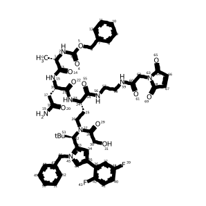 C[C@H](NC(=O)OCc1ccccc1)C(=O)N[C@@H](CC(N)=O)C(=O)N[C@@H](CCN(C(=O)CO)[C@@H](c1cc(-c2cc(F)ccc2F)cn1Cc1ccccc1)C(C)(C)C)C(=O)NCCNC(=O)CN1C(=O)C=CC1=O